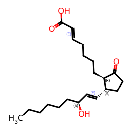 CCCCCC[C@H](O)/C=C/[C@H]1CCC(=O)[C@@H]1CCCC/C=C/C(=O)O